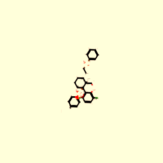 O=S(=O)(CC[C@@H]1CCCC2(S(=O)(=O)c3ccc(C(F)(F)F)cc3)c3c(F)ccc(F)c3OC[C@@H]12)c1ccccc1